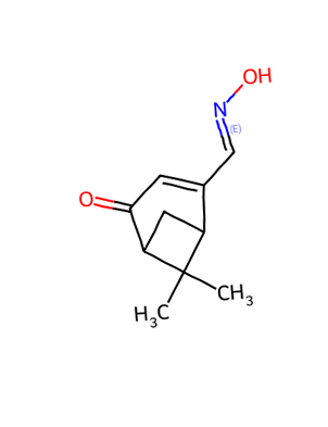 CC1(C)C2CC1C(/C=N/O)=CC2=O